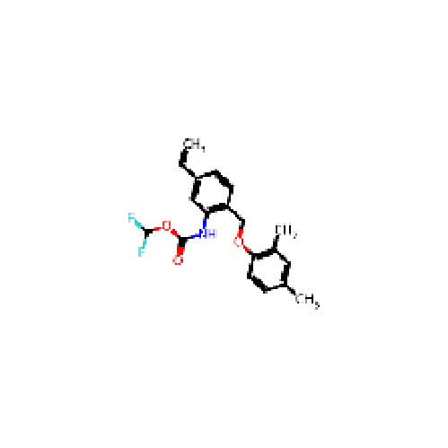 C=Cc1ccc(COc2ccc(C)cc2C)c(NC(=O)OC(F)F)c1